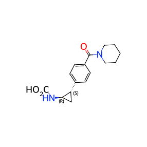 O=C(O)N[C@@H]1C[C@H]1c1ccc(C(=O)N2CCCCC2)cc1